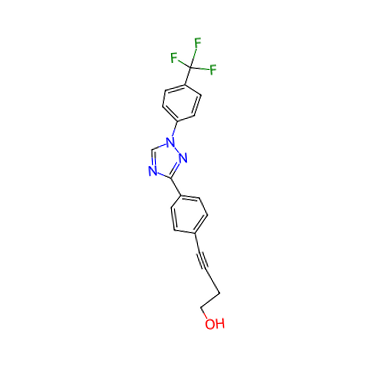 OCCC#Cc1ccc(-c2ncn(-c3ccc(C(F)(F)F)cc3)n2)cc1